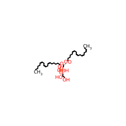 CC/C=C\C/C=C\C/C=C\C/C=C\CCCCC(=O)OC[C@H](COP(=O)(O)OC[C@@H](O)CO)OC(=O)CCCC/C=C\C/C=C\C/C=C\CCCCC